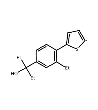 CCc1cc(C(O)(CC)CC)ccc1-c1cc[c]s1